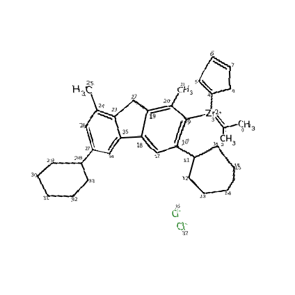 C[C](C)=[Zr+2]([C]1=CC=CC1)[c]1c(C2CCCCC2)cc2c(c1C)Cc1c(C)cc(C3CCCCC3)cc1-2.[Cl-].[Cl-]